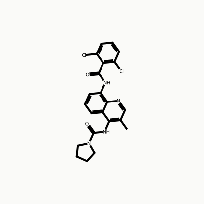 Cc1cnc2c(NC(=O)c3c(Cl)cccc3Cl)cccc2c1NC(=O)N1CCCC1